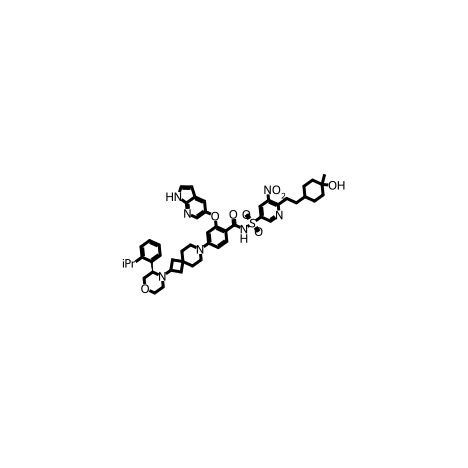 CC(C)c1ccccc1[C@@H]1COCCN1C1CC2(CCN(c3ccc(C(=O)NS(=O)(=O)c4cnc(CCC5CCC(C)(O)CC5)c([N+](=O)[O-])c4)c(Oc4cnc5[nH]ccc5c4)c3)CC2)C1